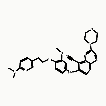 COc1cc(Nc2ccc3ncc(N4CCOCC4)nc3c2C#N)ccc1OCCc1ccc(N(C)C)nc1